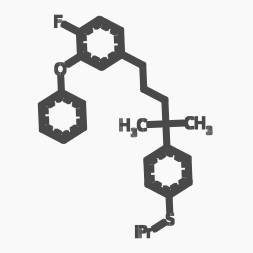 CC(C)Sc1ccc(C(C)(C)CCCc2ccc(F)c(Oc3ccccc3)c2)cc1